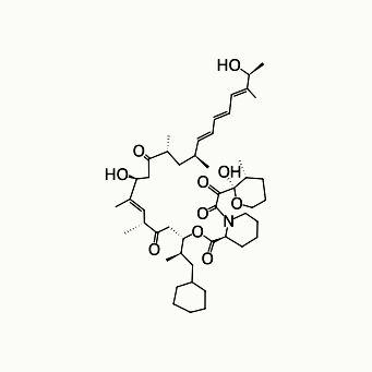 C\C(=C/C=C/C=C/[C@@H](C)C[C@@H](C)C(=O)C[C@H](O)/C(C)=C/[C@@H](C)C(=O)C[C@H](OC(=O)[C@@H]1CCCCN1C(=O)C(=O)[C@]1(O)OCCC[C@H]1C)[C@H](C)CC1CCCCC1)[C@H](C)O